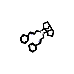 C(=C\c1ccccc1)/CSC12CCC(C1)C1CCCC12SC/C=C/c1ccccc1